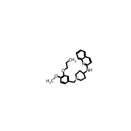 CCCOc1cc(CN2CCC(Nc3ccc4ccccc4n3)CC2)ccc1OC